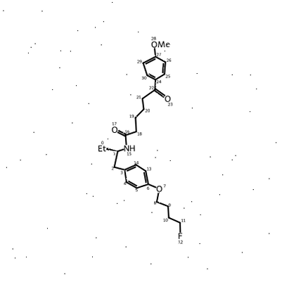 CC[C@H](Cc1ccc(OCCCCF)cc1)NC(=O)CCCCC(=O)c1ccc(OC)cc1